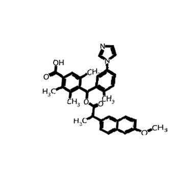 COc1ccc2cc(C(C)C(=O)OC(c3cc(-n4ccnc4)ccc3C)c3c(C)cc(C(=O)O)c(C)c3C)ccc2c1